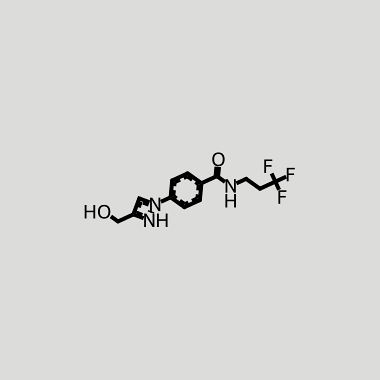 O=C(NCCC(F)(F)F)c1ccc(-n2cc(CO)[nH]2)cc1